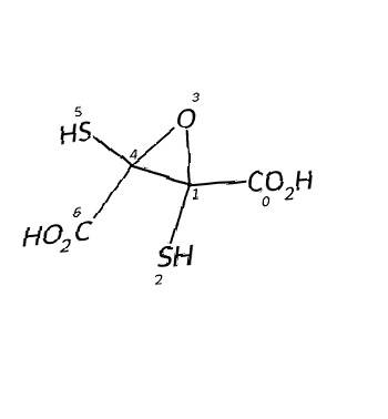 O=C(O)C1(S)OC1(S)C(=O)O